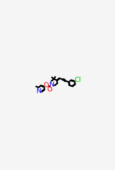 Cc1cc(OC(=O)N2CC/C(=C\C#Cc3cccc(Cl)c3)C(C)(C)C2)ccn1